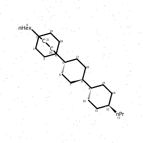 CCCCCCC12CCC([C@H]3CC[C@H]([C@H]4CC[C@H](CCC)CC4)CC3)(CC1)CC2